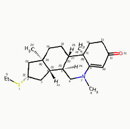 CCS[C@H]1C[C@H]2[C@@H]3CN(C)C4=CC(=O)CC[C@]4(C)[C@H]3CC[C@]2(C)C1